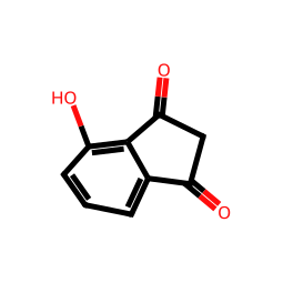 O=C1CC(=O)c2c(O)cccc21